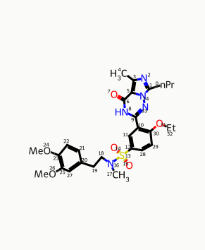 CCCc1nc(C)c2c(=O)[nH]c(-c3cc(S(=O)(=O)N(C)CCc4ccc(OC)c(OC)c4)ccc3OCC)nn12